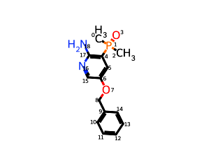 CP(C)(=O)c1cc(OCc2ccccc2)cnc1N